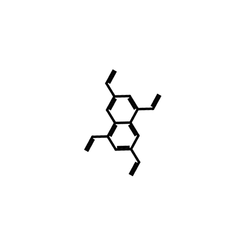 C=Cc1cc(C=C)c2cc(C=C)cc(C=C)c2c1